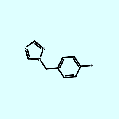 Brc1ccc(Cn2cncn2)cc1